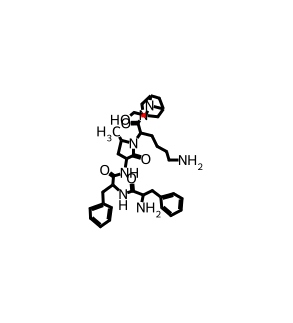 CC1CC(NC(=O)C(Cc2ccccc2)NC(=O)C(N)Cc2ccccc2)C(=O)N1C(CCCCN)C(=O)N1CC2CC(C1)N2CCO